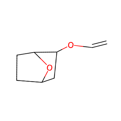 C=COC1CC2CCC1O2